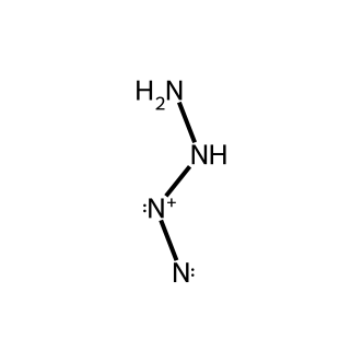 [N][N+]NN